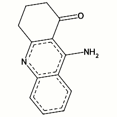 Nc1c2c(nc3ccccc13)CCCC2=O